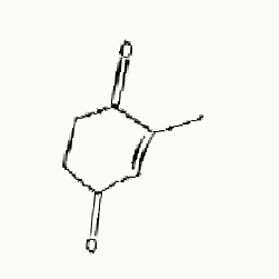 CC1=CC(=O)CCC1=O